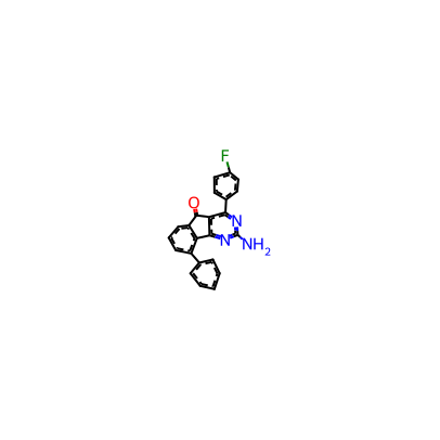 Nc1nc(-c2ccc(F)cc2)c2c(n1)-c1c(cccc1-c1ccccc1)C2=O